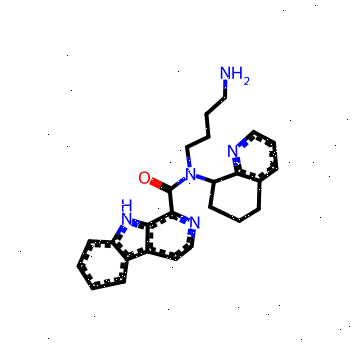 NCCCCN(C(=O)c1nccc2c1[nH]c1ccccc12)C1CCCc2cccnc21